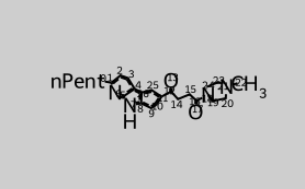 CCCCCc1ccc2c(n1)[nH]c1ccc(C(=O)CCC(=O)N3CCN(C)CC3)cc12